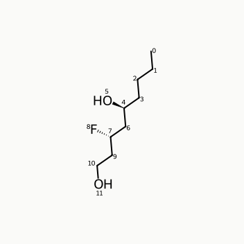 CCCC[C@H](O)C[C@@H](F)CCO